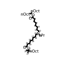 CCCCCCCCC(CCCCCCCC)OC(=O)CCCCCCCN(CCC)CCCCCCCC(=O)OC(C)(C)CCCCCCCC